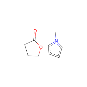 Cn1cccc1.O=C1CCCO1